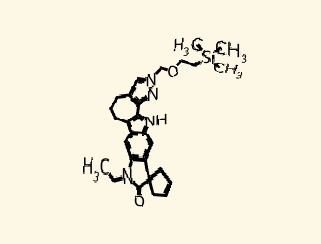 CCN1C(=O)C2(CC=CC2)c2cc3[nH]c4c(c3cc21)CCCc1cn(COCC[Si](C)(C)C)nc1-4